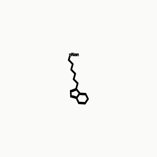 CCCCCCCCCCCCCCCC1=CC=C2C=CCC=C21